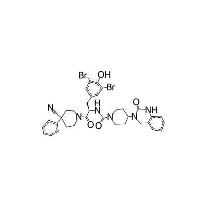 N#CC1(c2ccccc2)CCN(C(=O)[C@@H](Cc2cc(Br)c(O)c(Br)c2)NC(=O)N2CCC(N3Cc4ccccc4NC3=O)CC2)CC1